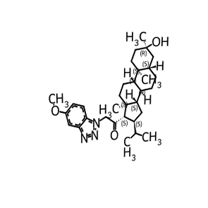 COc1ccc2c(c1)nnn2CC(=O)[C@H]1[C@H](C(C)C)C[C@H]2[C@@H]3CC[C@H]4C[C@](C)(O)CC[C@]4(C)[C@H]3CC[C@@]21C